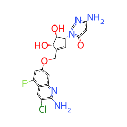 Nc1cc(=O)n([C@@H]2C=C(COc3cc(F)c4cc(Cl)c(N)nc4c3)[C@@H](O)[C@H]2O)cn1